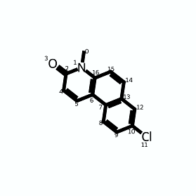 Cn1c(=O)ccc2c3ccc(Cl)cc3ccc21